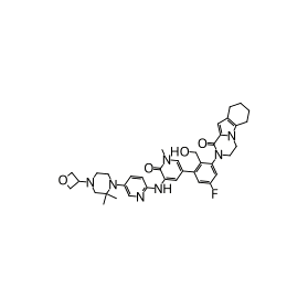 Cn1cc(-c2cc(F)cc(N3CCn4c(cc5c4CCCC5)C3=O)c2CO)cc(Nc2ccc(N3CCN(C4COC4)CC3(C)C)cn2)c1=O